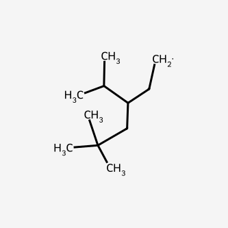 [CH2]CC(CC(C)(C)C)C(C)C